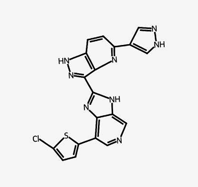 Clc1ccc(-c2cncc3[nH]c(-c4n[nH]c5ccc(-c6cn[nH]c6)nc45)nc23)s1